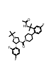 CC(=O)NC(C)(C)c1cc(F)ccc1C1CCN(C(=O)[C@@H]2CN(C(C)(C)C)C[C@H]2c2ccc(F)cc2F)CC1